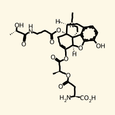 C[C@H](O)C(=O)NCCC(=O)O[C@@]12CC=C(OC(=O)[C@H](C)OC(=O)C[C@H](N)C(=O)O)[C@@H]3Oc4c(O)ccc5c4[C@@]31CCN(C)[C@@H]2C5